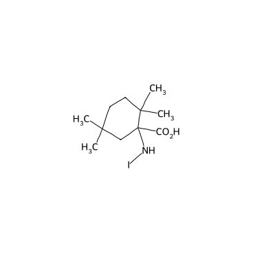 CC1(C)CCC(C)(C)C(NI)(C(=O)O)C1